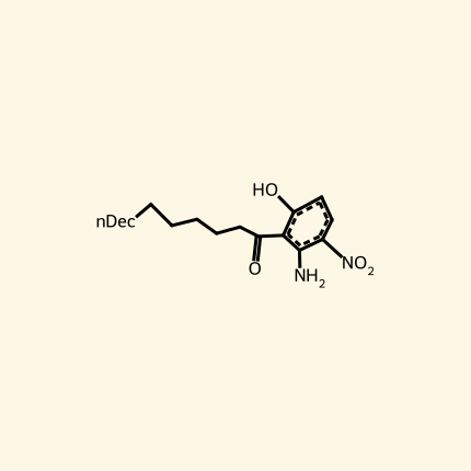 CCCCCCCCCCCCCCCC(=O)c1c(O)ccc([N+](=O)[O-])c1N